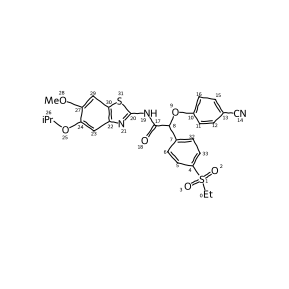 CCS(=O)(=O)c1ccc(C(Oc2ccc(C#N)cc2)C(=O)Nc2nc3cc(OC(C)C)c(OC)cc3s2)cc1